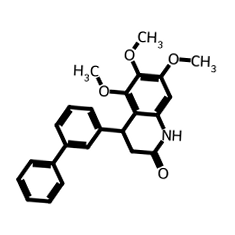 COc1cc2c(c(OC)c1OC)C(c1cccc(-c3ccccc3)c1)CC(=O)N2